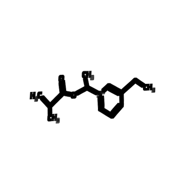 CCc1ccc[n+](C(C)OC(=O)C(C)C)c1